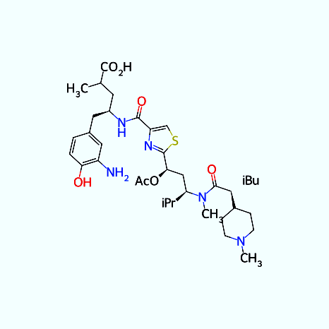 CC[C@H](C)[C@H](C(=O)N(C)[C@H](C[C@@H](OC(C)=O)c1nc(C(=O)N[C@@H](Cc2ccc(O)c(N)c2)CC(C)C(=O)O)cs1)C(C)C)C1CCN(C)CC1